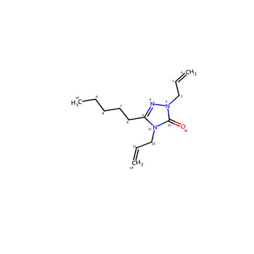 C=CCn1nc(CCCCC)n(CC=C)c1=O